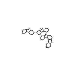 c1ccc2c(c1)oc1cc(-c3ccc4c(c3)oc3cccc(-n5c6ccccc6c6c7c(ccc65)oc5ccccc57)c34)ccc12